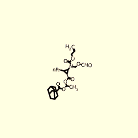 C=CCOC(=O)N(COC=O)C1C(CCC)[C@@H]1C(=O)OC(C)OC(=O)C12CC3CC(CC(C3)C1)C2